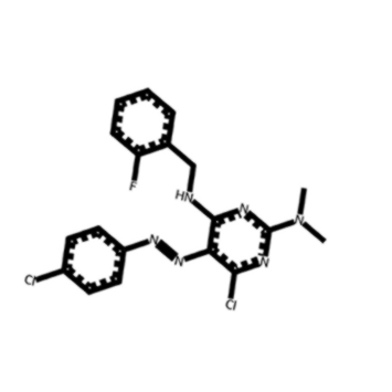 CN(C)c1nc(Cl)c(N=Nc2ccc(Cl)cc2)c(NCc2ccccc2F)n1